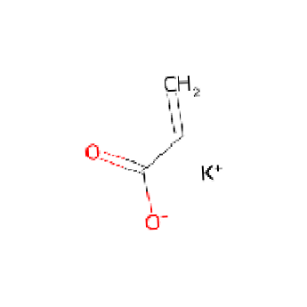 C=CC(=O)[O-].[K+]